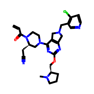 C=CC(=O)N1CCN(c2nc(OC[C@@H]3CCCN3C)nc3c2CN(Cc2cnccc2Cl)C3)C[C@@H]1CC#N